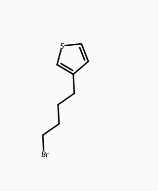 BrCCCCc1ccsc1